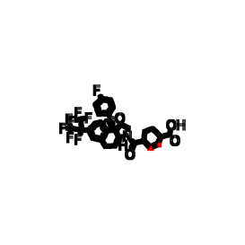 O=C(O)C12CCC(C(=O)N3CC[C@@]4(S(=O)(=O)c5ccc(F)cc5)c5ccc(C(F)(C(F)(F)F)C(F)(F)F)cc5CC[C@@H]34)(CC1)CC2